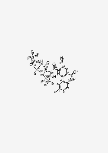 Cc1ccc2[nH]c(=O)c(CC(C#N)NC(=O)[C@@H]3[C@@H]4[C@H](CN3C(=O)[C@@H](NC(=O)C(F)(F)F)C(C)(C)C)C4(C)C)cc2c1